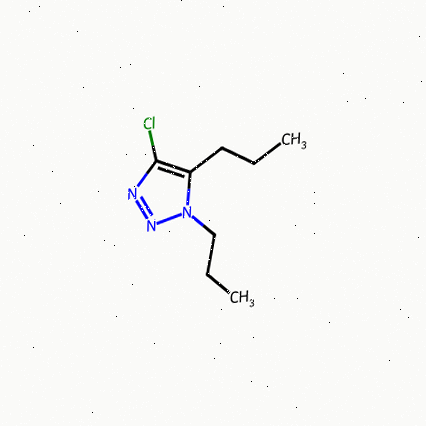 CCCc1c(Cl)nnn1CCC